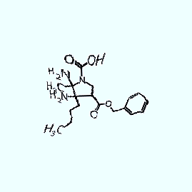 CCCCC1(N)C(C(=O)OCc2ccccc2)CN(C(=O)O)C1(C)N